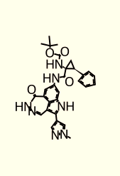 Cn1cc(-c2[nH]c3cc(NC(=O)[C@]4(NC(=O)OC(C)(C)C)C[C@H]4c4ccccc4)cc4c3c2C=NNC4=O)cn1